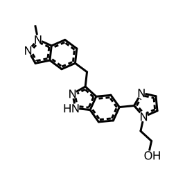 Cn1ncc2cc(Cc3n[nH]c4ccc(-c5nccn5CCO)cc34)ccc21